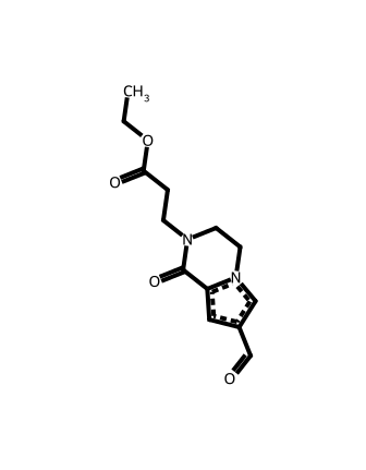 CCOC(=O)CCN1CCn2cc(C=O)cc2C1=O